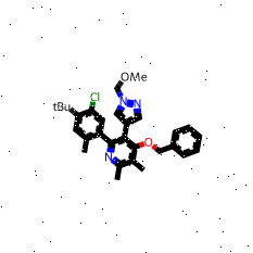 COCn1cc(-c2c(-c3cc(Cl)c(C(C)(C)C)cc3C)nc(C)c(C)c2OCc2ccccc2)cn1